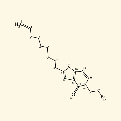 C=CCCCCCCCc1cc2c(=O)n(CCBr)cnc2s1